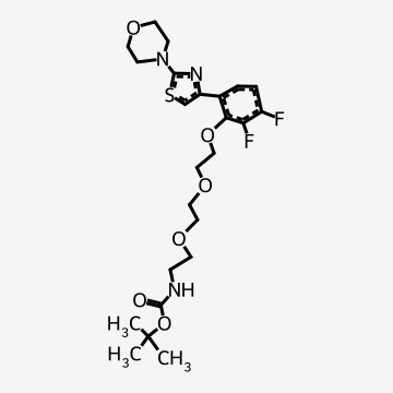 CC(C)(C)OC(=O)NCCOCCOCCOc1c(-c2csc(N3CCOCC3)n2)ccc(F)c1F